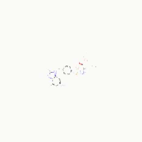 CCOC(=O)[C@H](CC(C)C)NS(=O)(=O)c1ccc(Cn2c(C)nc3ccc(F)cc32)cc1